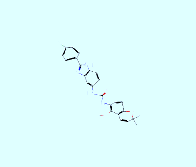 COc1c(NC(=O)Nc2ccc3[nH]c(-c4ccc(Cl)cc4)nc3c2)ccc2c1C=CC(C)(C)O2